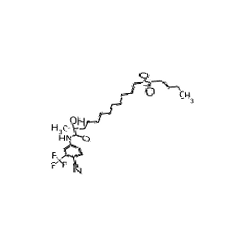 CCCCS(=O)(=O)CCCCCCCCCC[C@](C)(O)C(=O)Nc1ccc(C#N)c(C(F)(F)F)c1